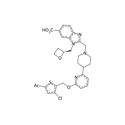 CC(=O)c1cc(Cl)c(COc2cccc(C3CCN(Cc4nc5ccc(C(=O)O)cc5n4C[C@@H]4CCO4)CC3)n2)s1